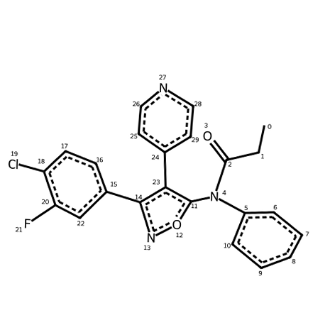 CCC(=O)N(c1ccccc1)c1onc(-c2ccc(Cl)c(F)c2)c1-c1ccncc1